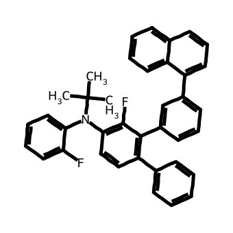 CC(C)(C)N(c1ccccc1F)c1ccc(-c2ccccc2)c(-c2cccc(-c3cccc4ccccc34)c2)c1F